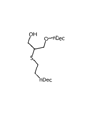 CCCCCCCCCCCCSC(CO)COCCCCCCCCCC